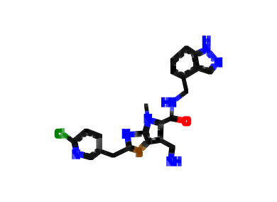 Cn1c(C(=O)NCc2cccc3[nH]ncc23)c(C=N)c2sc(Cc3ccc(Cl)nc3)nc21